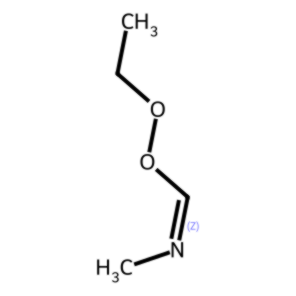 CCOO/C=N\C